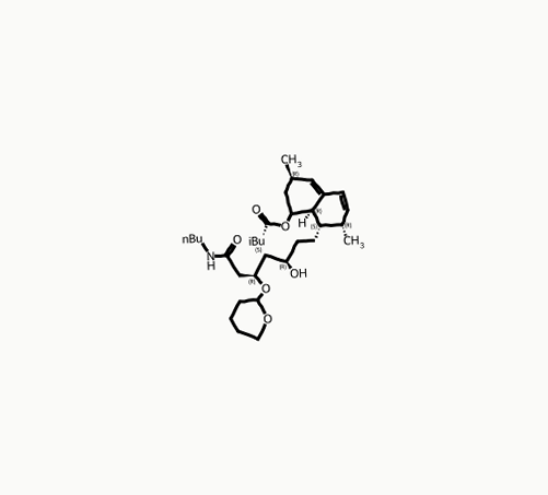 CCCCNC(=O)C[C@@H](C[C@H](O)CC[C@@H]1[C@@H]2C(=C[C@H](C)CC2OC(=O)[C@@H](C)CC)C=C[C@@H]1C)OC1CCCCO1